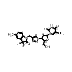 Cc1ccc2c(c1)C(F)(F)C(=O)N2Cc1cn(C2CC(n3cc(C)c(=O)[nH]c3=O)OC2CO)nn1